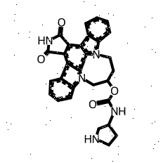 O=C(NC1CCNC1)OC1CCn2c3ccccc3c3c4c(c5c6ccccc6n(c5c32)C1)C(=O)NC4=O